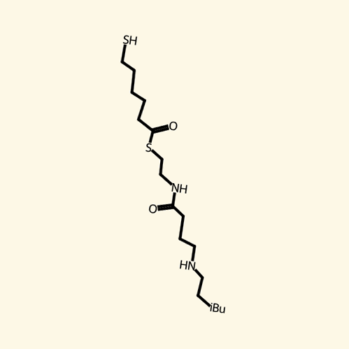 CCC(C)CCNCCCC(=O)NCCSC(=O)CCCCCS